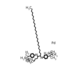 CCCCCCCCCCCCCCCCCCCCCCCCCCC(=N\c1ccc(C(C)[Si](C)(C)C)cc1)/C(CCCC)=N/c1ccc(C(C)[Si](C)(C)C)cc1.[Pd]